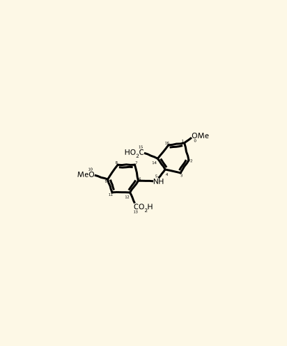 COc1ccc(Nc2ccc(OC)cc2C(=O)O)c(C(=O)O)c1